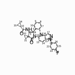 O=C(N[C@@H]1[C@@H](c2ccccc2)N(c2ccc3c(cnn3-c3ccc(F)cc3)n2)C(=O)C12CC2)C1CC1